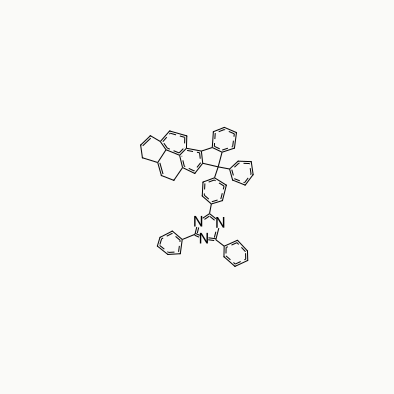 C1=Cc2ccc3c4c(cc5c3c2C(=CC5)C1)C(c1ccccc1)(c1ccc(-c2nc(-c3ccccc3)nc(-c3ccccc3)n2)cc1)c1ccccc1-4